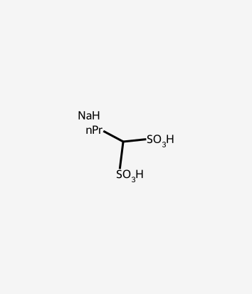 CCCC(S(=O)(=O)O)S(=O)(=O)O.[NaH]